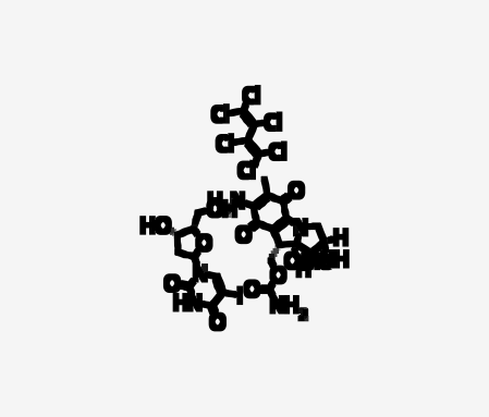 CO[C@@]12[C@H](COC(N)=O)C3=C(C(=O)C(C)=C(N)C3=O)N1C[C@@H]1N[C@@H]12.ClC(Cl)=C(Cl)C(Cl)=C(Cl)Cl.O=c1[nH]c(=O)n(C2C[C@H](O)[C@@H](CO)O2)cc1I